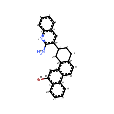 Nc1nc2ccccc2cc1C1CCc2ccc3c(cc(Br)c4ccccc43)c2C1